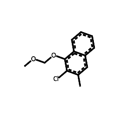 COCOc1c(Cl)c(C)cc2ccccc12